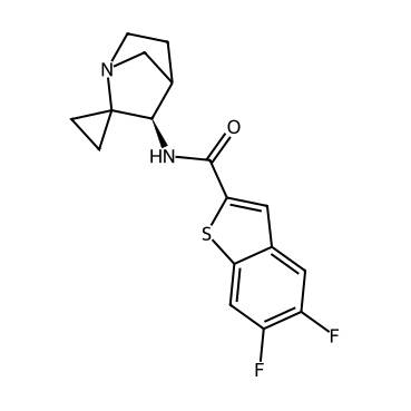 O=C(N[C@@H]1C2CCN(C2)C12CC2)c1cc2cc(F)c(F)cc2s1